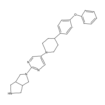 [c]1cc(C2CCN(c3cnc(N4CC5CNCC5C4)nc3)CC2)ccc1Oc1ccccc1